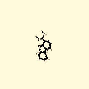 COC(OC)c1cccc2c1sc1ccccc12